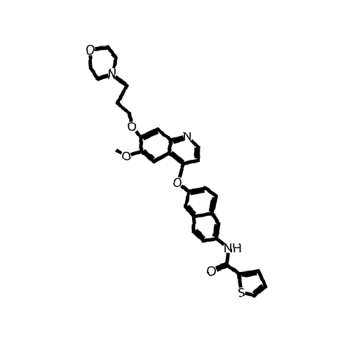 COc1cc2c(Oc3ccc4cc(NC(=O)c5cccs5)ccc4c3)ccnc2cc1OCCCN1CCOCC1